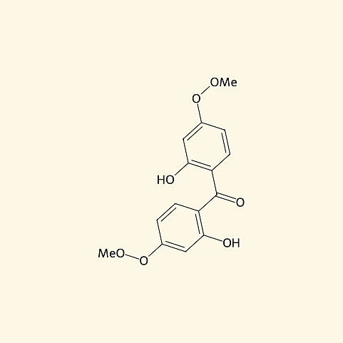 COOc1ccc(C(=O)c2ccc(OOC)cc2O)c(O)c1